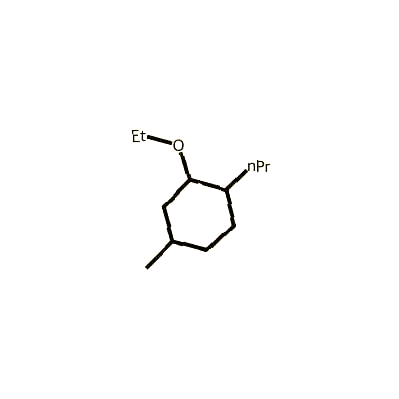 CCCC1CCC(C)CC1OCC